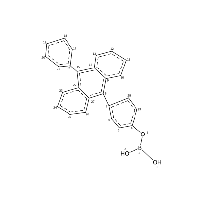 OB(O)Oc1ccc(-c2c3ccccc3c(-c3ccccc3)c3ccccc23)cc1